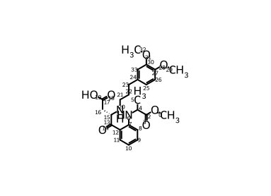 COC(=O)C(C)Nc1ccccc1C(=O)[C@H](CC(=O)O)NCCCc1ccc(OC)c(OC)c1